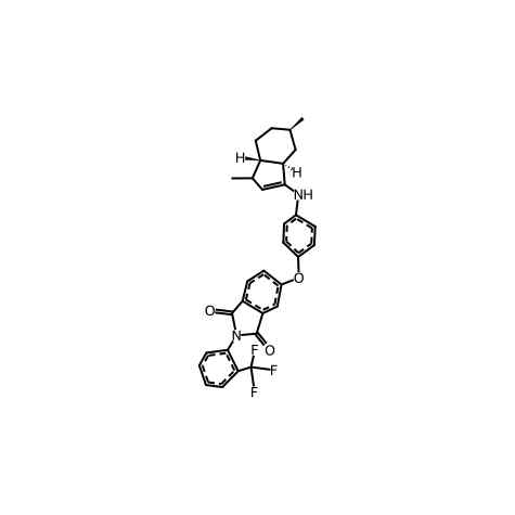 CC1C=C(Nc2ccc(Oc3ccc4c(c3)C(=O)N(c3ccccc3C(F)(F)F)C4=O)cc2)[C@@H]2C[C@H](C)CC[C@@H]12